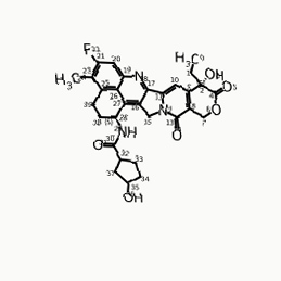 CC[C@@]1(O)C(=O)OCc2c1cc1n(c2=O)Cc2c-1nc1cc(F)c(C)c3c1c2[C@@H](NC(=O)C1CCC(O)C1)CC3